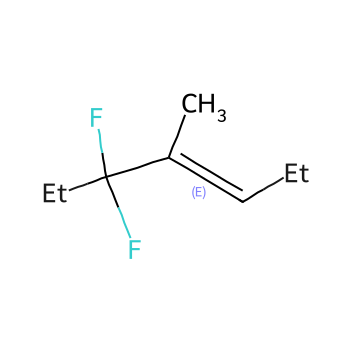 CC/C=C(\C)C(F)(F)CC